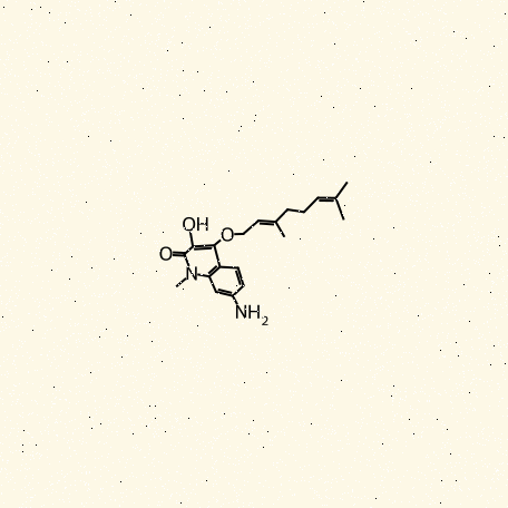 CC(C)=CCC/C(C)=C/COc1c(O)c(=O)n(C)c2cc(N)ccc12